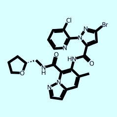 Cc1cc2ccnn2c(C(=O)NC[C@H]2CCCO2)c1NC(=O)c1cc(Br)nn1-c1ncccc1Cl